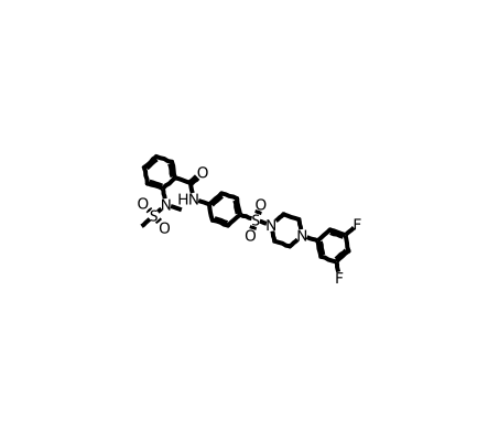 CN(c1ccccc1C(=O)Nc1ccc(S(=O)(=O)N2CCN(c3cc(F)cc(F)c3)CC2)cc1)S(C)(=O)=O